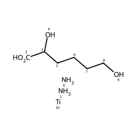 N.N.O=C(O)C(O)CCCCO.[Ti]